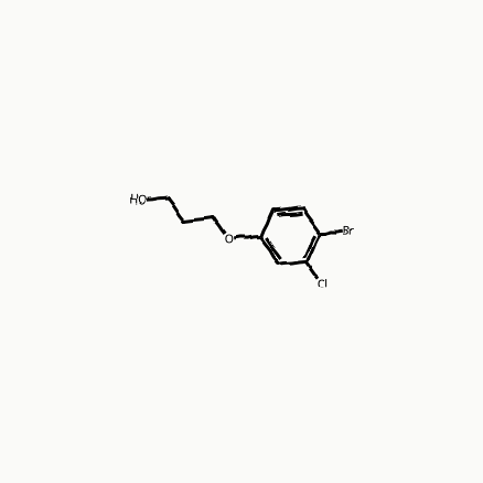 OCCCOc1ccc(Br)c(Cl)c1